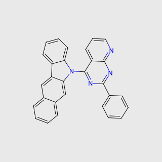 c1ccc(-c2nc(-n3c4ccccc4c4cc5ccccc5cc43)c3cccnc3n2)cc1